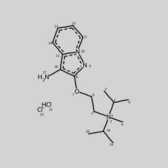 CC(C)[N+](C)(CCOc1nn2ccccc2c1N)C(C)C.Cl.[Cl-]